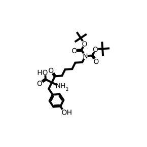 CC(C)(C)OC(=O)N(CCCCCC(=O)C(N)(Cc1ccc(O)cc1)C(=O)O)C(=O)OC(C)(C)C